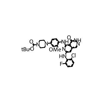 COc1cc(N2CCN(C(=O)OC(C)(C)C)CC2)ccc1Nc1nc(Nc2c(F)cccc2Cl)cc2cn[nH]c(=O)c12